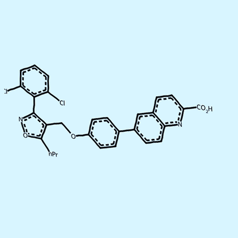 CCCc1onc(-c2c(Cl)cccc2Cl)c1COc1ccc(-c2ccc3nc(C(=O)O)ccc3c2)cc1